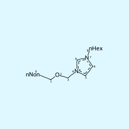 CCCCCCCCCCOC[n+]1ccn(CCCCCC)c1